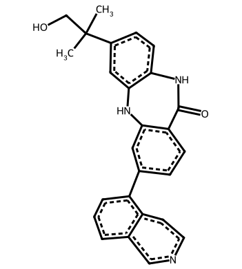 CC(C)(CO)c1ccc2c(c1)Nc1cc(-c3cccc4cnccc34)ccc1C(=O)N2